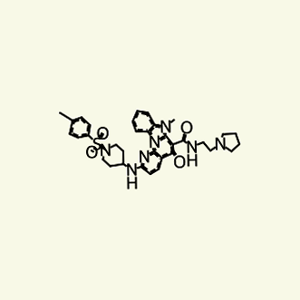 Cc1ccc(S(=O)(=O)N2CCC(Nc3ccc4c(=O)c(C(=O)NCCN5CCCC5)c5n(C)c6ccccc6n5c4n3)CC2)cc1